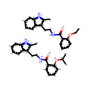 CCOc1ccccc1C(=O)NCCc1c(C)[nH]c2ccccc12.Cc1[nH]c2ccccc2c1CCNC(=O)c1ccccc1OC(C)C